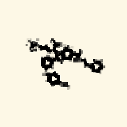 Cc1ccc(Sc2cccc(-c3nc4cc(C(=O)NCCc5ccccn5)ccc4n3[C@@H](CCCNC(=N)N)C(N)=O)c2)cc1